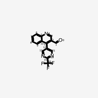 O=Cc1cnc2ccccc2c1-c1cnc(C(F)(F)F)nc1